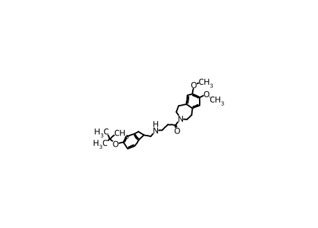 COc1cc2c(cc1OC)CCN(C(=O)CCNCC1Cc3cc(OC(C)(C)C)ccc31)CC2